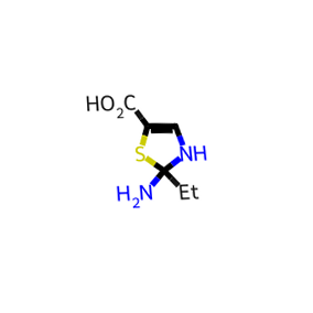 CCC1(N)NC=C(C(=O)O)S1